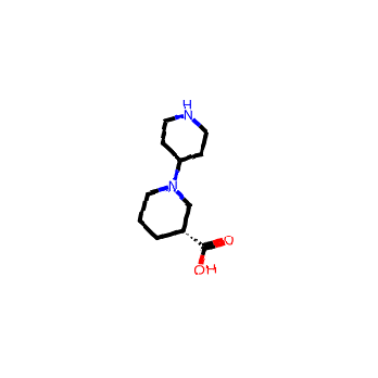 O=C(O)[C@@H]1CCCN(C2CCNCC2)C1